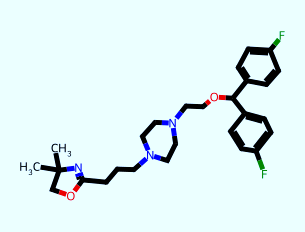 CC1(C)COC(CCCN2CCN(CCOC(c3ccc(F)cc3)c3ccc(F)cc3)CC2)=N1